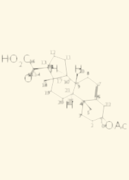 CC(=O)OC1CC[C@@]2(C)C(=CC[C@H]3[C@@H]4CC[C@H](C(=O)C(=O)O)[C@@]4(C)CC[C@@H]32)C1